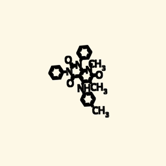 Cc1ccc(Nc2c(C)c(=O)n(C)c3c2c(=O)n(-c2ccccc2)c(=O)n3-c2ccccc2)cc1